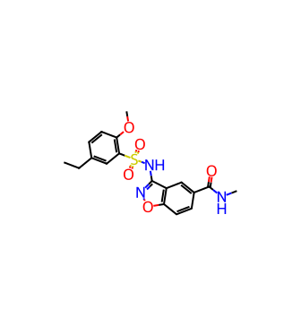 CCc1ccc(OC)c(S(=O)(=O)Nc2noc3ccc(C(=O)NC)cc23)c1